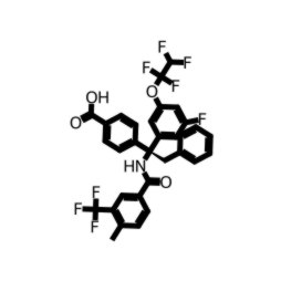 Cc1ccc(C(=O)N[C@](Cc2ccccc2)(c2ccc(C(=O)O)cc2)c2cc(F)cc(OC(F)(F)C(F)F)c2)cc1C(F)(F)F